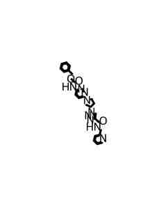 O=C(Nc1ccc(N2CCC(n3cc(C(=O)NCc4ccccn4)nn3)C2)nn1)OCc1ccccc1